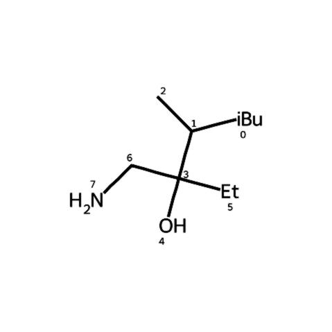 CCC(C)C(C)C(O)(CC)CN